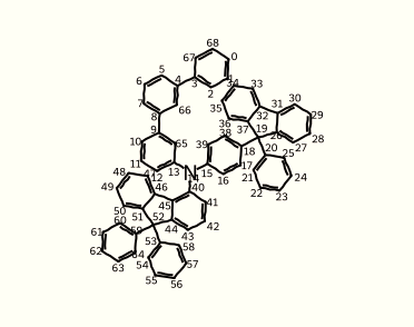 c1ccc(-c2cccc(-c3cccc(N(c4ccc(C5(c6ccccc6)c6ccccc6-c6ccccc65)cc4)c4cccc5c4-c4ccccc4C5(c4ccccc4)c4ccccc4)c3)c2)cc1